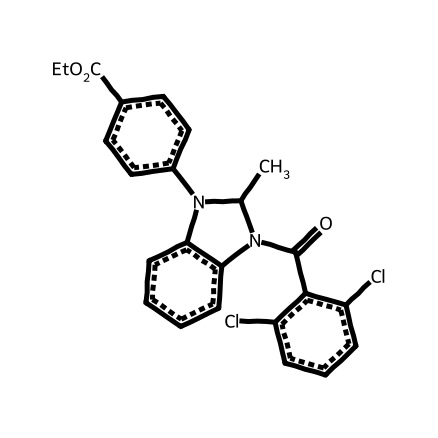 CCOC(=O)c1ccc(N2c3ccccc3N(C(=O)c3c(Cl)cccc3Cl)C2C)cc1